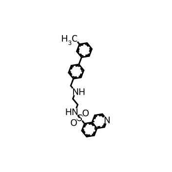 Cc1cccc(-c2ccc(CNCCNS(=O)(=O)c3cccc4cnccc34)cc2)c1